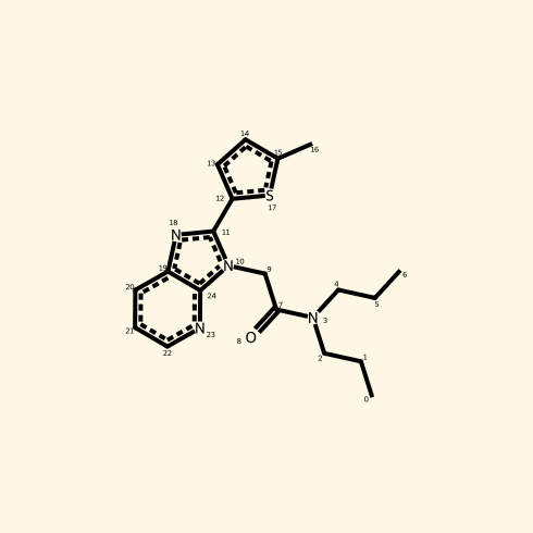 CCCN(CCC)C(=O)Cn1c(-c2ccc(C)s2)nc2cccnc21